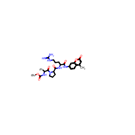 Cc1cc(=O)oc2cc(NC(=O)C(CCCNC(=N)N)NC(=O)C3CCCN3C(=O)C(NC(=O)OC(C)(C)C)C(C)C)ccc12